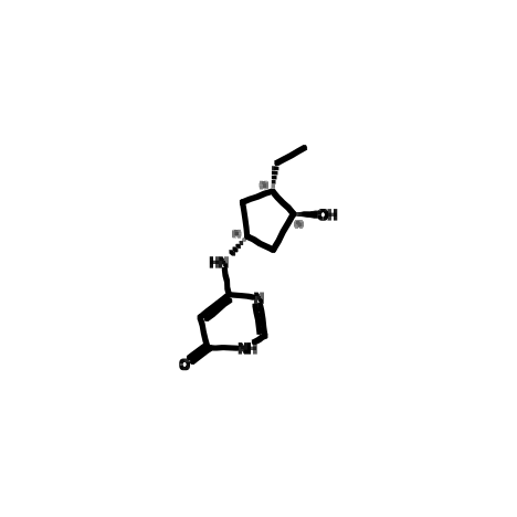 CC[C@H]1C[C@@H](Nc2cc(=O)[nH]cn2)C[C@@H]1O